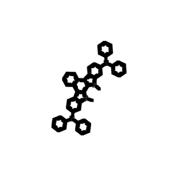 Cp1c2cc(N(c3ccccc3)c3ccccc3)ccc2c2c3ccccc3c3c4ccc(N(c5ccccc5)c5ccccc5)cc4p(C)c3c21